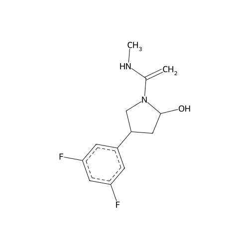 C=C(NC)N1CC(c2cc(F)cc(F)c2)CC1O